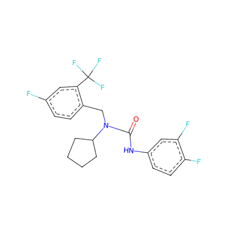 O=C(Nc1ccc(F)c(F)c1)N(Cc1ccc(F)cc1C(F)(F)F)C1CCCC1